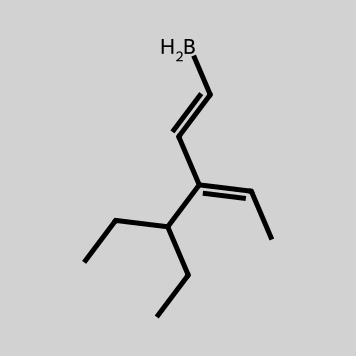 BC=CC(=CC)C(CC)CC